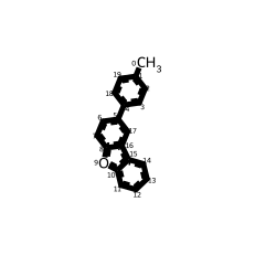 Cc1ccc(-c2ccc3oc4ccccc4c3c2)cc1